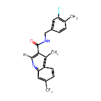 CCc1nc2cc(C(F)(F)F)ccc2c(C)c1C(=O)NCc1ccc(C)c(F)c1